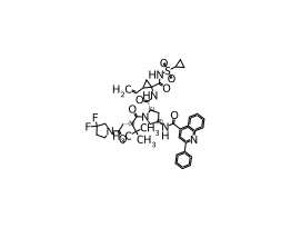 C=CC1CC1(NC(=O)[C@@H]1C[C@@H](NC(=O)c2cc(-c3ccccc3)nc3ccccc23)CN1C(=O)[C@@H](CC(=O)N1CCC(F)(F)C1)C(C)(C)C)C(=O)NS(=O)(=O)C1CC1